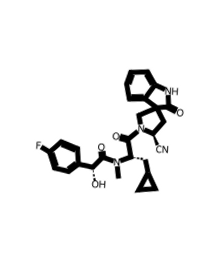 CN(C(=O)[C@H](O)c1ccc(F)cc1)[C@@H](CC1CC1)C(=O)N1CC2(C[C@H]1C#N)C(=O)Nc1ccccc12